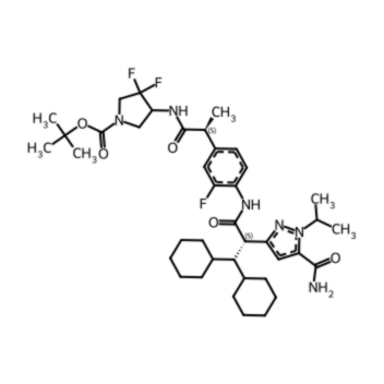 CC(C)n1nc([C@@H](C(=O)Nc2ccc([C@H](C)C(=O)NC3CN(C(=O)OC(C)(C)C)CC3(F)F)cc2F)C(C2CCCCC2)C2CCCCC2)cc1C(N)=O